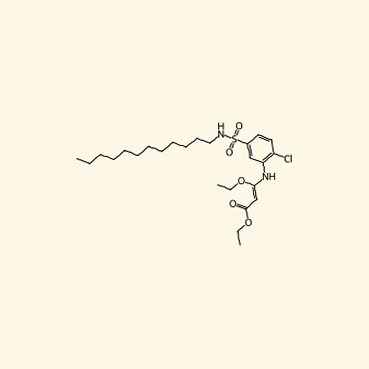 CCCCCCCCCCCCNS(=O)(=O)c1ccc(Cl)c(N/C(=C/C(=O)OCC)OCC)c1